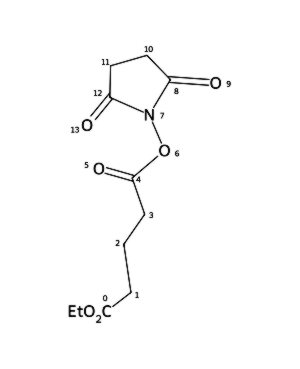 CCOC(=O)CCCC(=O)ON1C(=O)CCC1=O